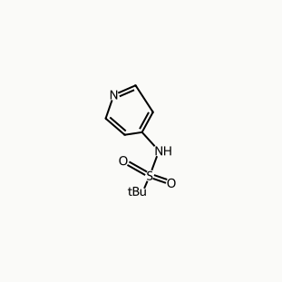 CC(C)(C)S(=O)(=O)Nc1ccncc1